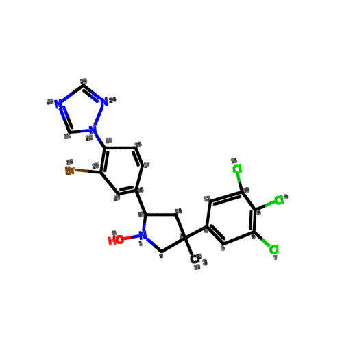 ON1CC(c2cc(Cl)c(Cl)c(Cl)c2)(C(F)(F)F)CC1c1ccc(-n2cncn2)c(Br)c1